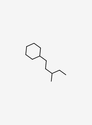 CCC(C)CCC1CCCCC1